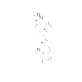 COc1nc(N)c2c(n1)CCN(c1ccc(C(C)(C)c3nnnn3C)cc1)C2=O